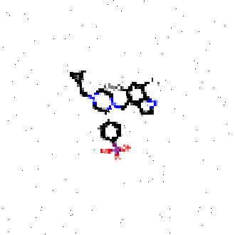 COc1cc(C)c2[nH]ccc2c1CN1CCN(CC2CC2)C[C@H]1c1ccc(P(=O)(O)O)cc1